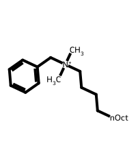 CCCCCCCCCCCC[N+](C)(C)Cc1ccccc1